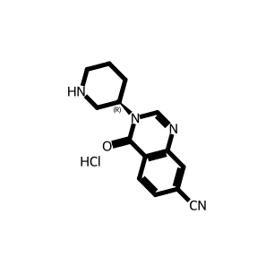 Cl.N#Cc1ccc2c(=O)n([C@@H]3CCCNC3)cnc2c1